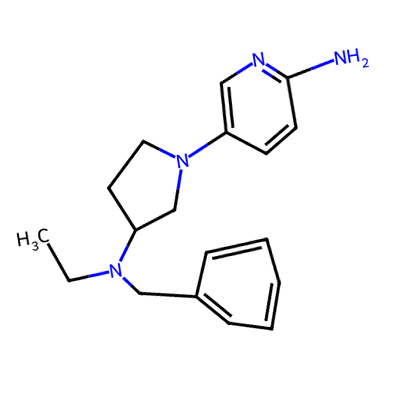 CCN(Cc1ccccc1)C1CCN(c2ccc(N)nc2)C1